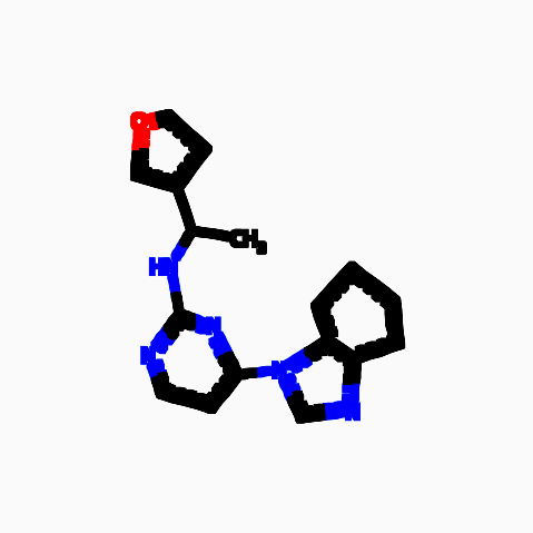 CC(Nc1nccc(-n2cnc3ccccc32)n1)c1ccoc1